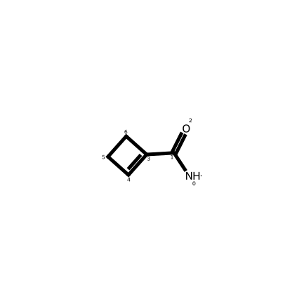 [NH]C(=O)C1=CCC1